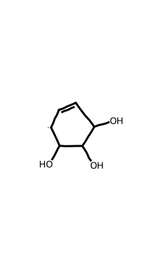 OC1[CH]C=CC(O)C1O